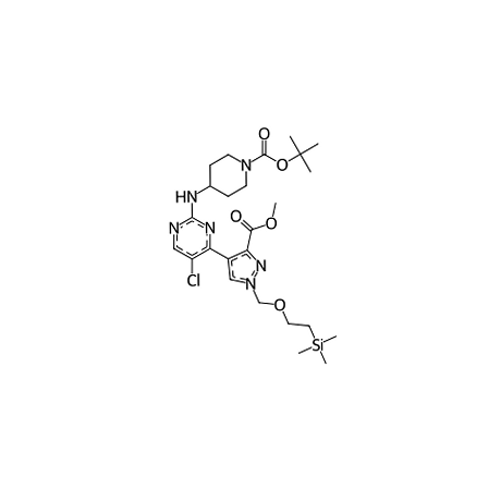 COC(=O)c1nn(COCC[Si](C)(C)C)cc1-c1nc(NC2CCN(C(=O)OC(C)(C)C)CC2)ncc1Cl